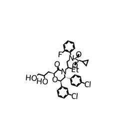 CCC(CN(c1ccccc1F)S(=O)(=O)C1CC1)N1C(=O)[C@H](CC(O)CO)O[C@H](c2cccc(Cl)c2)[C@H]1c1ccc(Cl)cc1